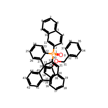 O=P(c1ccc2ccccc2c1)(c1ccc2ccccc2c1)c1ccccc1-c1c(OCc2ccccc2)ccc2ccccc12